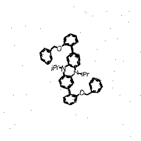 CC(C)N1c2ccc(-c3ccccc3OCc3ccccc3)cc2N(C(C)C)c2ccc(-c3ccccc3OCc3ccccc3)cc21